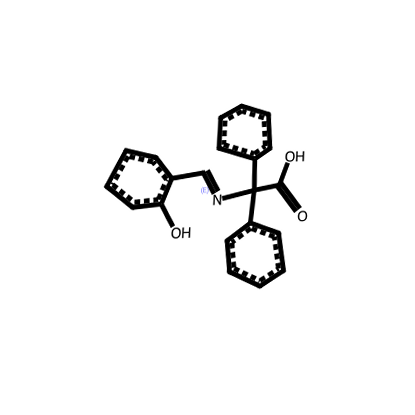 O=C(O)C(/N=C/c1ccccc1O)(c1ccccc1)c1ccccc1